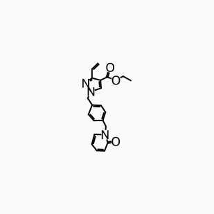 C=Cc1nn(Cc2ccc(Cn3ccccc3=O)cc2)cc1C(=O)OCC